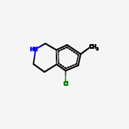 Cc1cc(Cl)c2c(c1)CNCC2